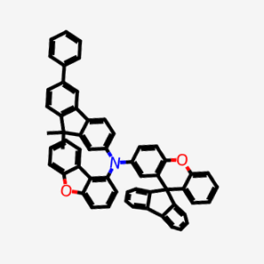 CC1(C)c2ccc(-c3ccccc3)cc2-c2ccc(N(c3ccc4c(c3)C3(c5ccccc5O4)c4ccccc4-c4ccccc43)c3cccc4oc5ccccc5c34)cc21